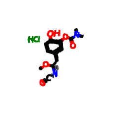 CO[C@@H](Cc1ccc(O)c(OC(=O)N(C)C)c1)N=C=O.Cl